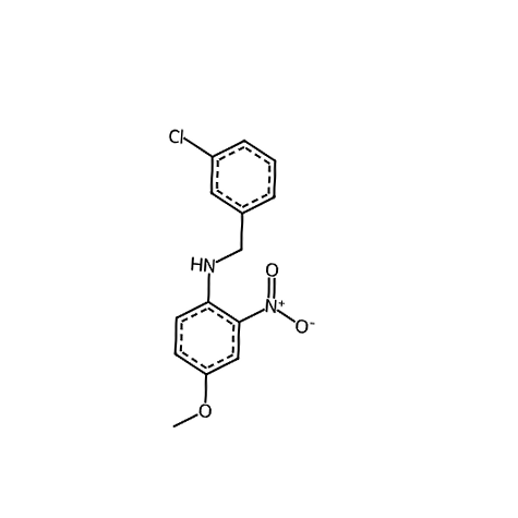 COc1ccc(NCc2cccc(Cl)c2)c([N+](=O)[O-])c1